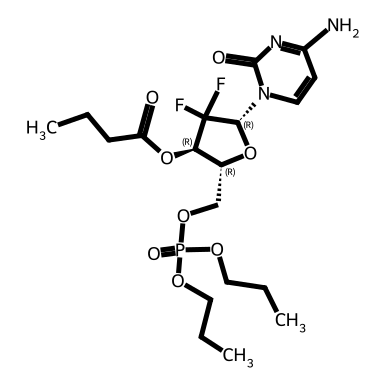 CCCOP(=O)(OCCC)OC[C@H]1O[C@@H](n2ccc(N)nc2=O)C(F)(F)[C@@H]1OC(=O)CCC